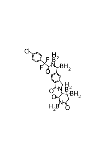 BC(c1ccc2c(c1)CN(C1C(=O)N(B)C(=O)CC1(B)B)C2=O)N(B)C(=O)C(F)(F)c1ccc(Cl)cc1